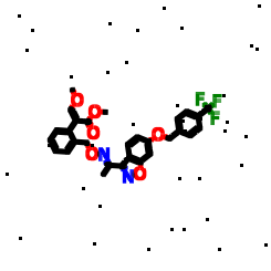 COC=C(C(=O)OC)c1ccccc1CON=C(C)c1noc2cc(OCc3ccc(C(F)(F)F)cc3)ccc12